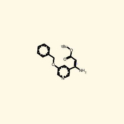 CC(C)(C)OC(=O)/C=C(/N)c1cncc(OCc2ccccc2)c1